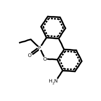 CCP1(=O)Oc2c(N)cccc2-c2ccccc21